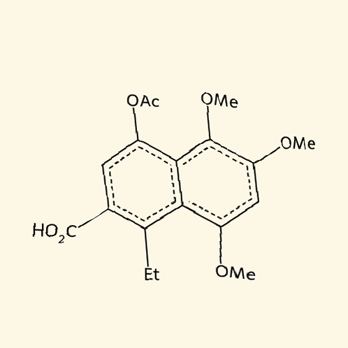 CCc1c(C(=O)O)cc(OC(C)=O)c2c(OC)c(OC)cc(OC)c12